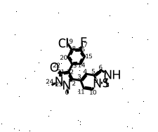 Cn1c(C2=CC3=CNSN3C=C2)c(-c2ccc(F)c(Cl)c2)c(=O)n1C